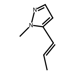 CC=Cc1ccnn1C